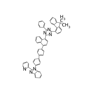 CC1(C)c2ccccc2-c2c(-c3nc(-c4ccccc4)nc(-c4ccc(-c5ccc(-c6ccc(-n7c(-c8ccccn8)nc8ccccc87)cc6)cc5)c5ccccc45)n3)cccc21